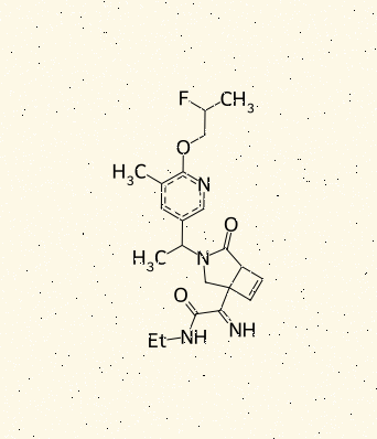 CCNC(=O)C(=N)C12C=CC1C(=O)N(C(C)c1cnc(OCC(C)F)c(C)c1)C2